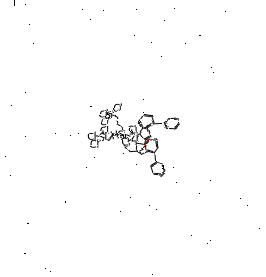 CCC1=Cc2c(-c3ccccc3)cccc2[CH]1[Zr]([Cl])([Cl])([CH]1C(CC)=Cc2c(-c3ccccc3)cccc21)[SiH](CCC[Si](Cl)(Cl)Cl)CCC[Si](Cl)(Cl)Cl